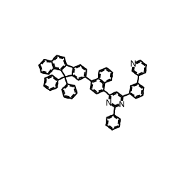 c1ccc(-c2nc(-c3cccc(-c4cccnc4)c3)cc(-c3ccc(-c4ccc5c(c4)C(c4ccccc4)(c4ccccc4)c4c-5ccc5ccccc45)c4ccccc34)n2)cc1